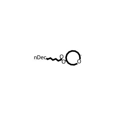 [CH2]CCCCCCCCCCCCCCC(=O)OC1CCCCCC[CH]COCCCC1